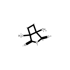 CC12CCC1(C)C(=O)OC2=O